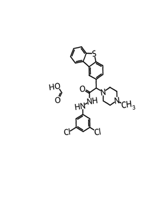 CN1CCN(C(C(=O)NNc2cc(Cl)cc(Cl)c2)c2ccc3sc4ccccc4c3c2)CC1.O=CO